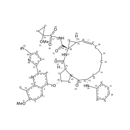 COc1ccc2c(O[C@@H]3C[C@H]4C(=O)N[C@]5(C(=O)NS(=O)(=O)C6(OC)CC6)C[C@H]5/C=C\CCCCC[C@H](Nc5ccccc5)C(=O)N4C3)cc(-c3nc(C(C)C)cs3)nc2c1C